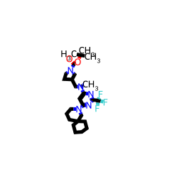 CN(CC1CCN(C(=O)OC(C)(C)C)C1)c1cc(N2CCCC3(CCCCC3)C2)nc(C(F)(F)F)n1